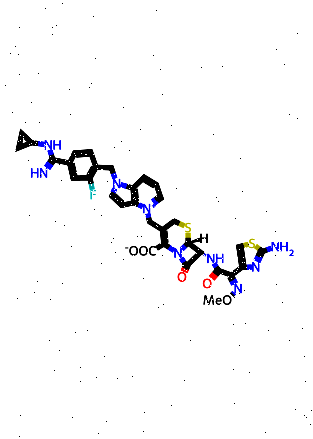 CO/N=C(\C(=O)N[C@@H]1C(=O)N2C(C(=O)[O-])=C(C[n+]3cccc4c3ccn4Cc3ccc(C(=N)NC4CC4)cc3F)CS[C@H]12)c1csc(N)n1